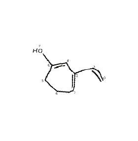 C=CC1=CCCC(O)=C1